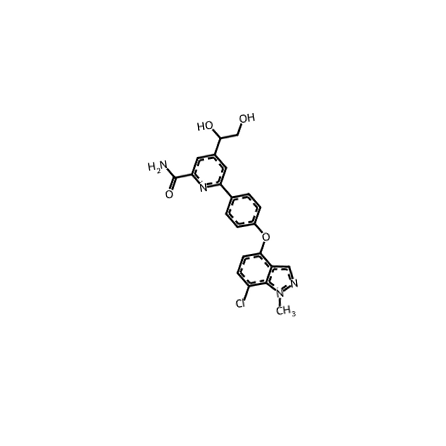 Cn1ncc2c(Oc3ccc(-c4cc(C(O)CO)cc(C(N)=O)n4)cc3)ccc(Cl)c21